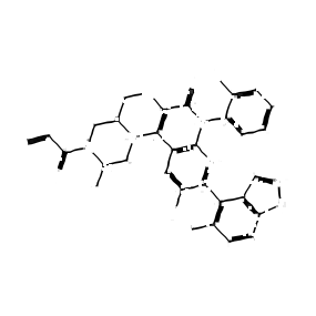 C=CC(=O)N1CC2COc3c(c4cc(F)c(-c5c(C)ccc6[nH]ncc56)nc4n(-c4ccccc4C(C)C)c3=O)N2CC1C